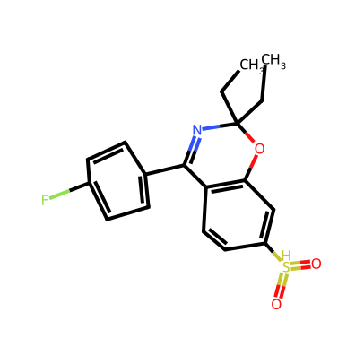 CCC1(CC)N=C(c2ccc(F)cc2)c2ccc([SH](=O)=O)cc2O1